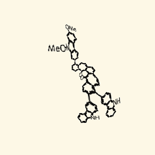 COc1ccc2c3ccc(-c4cccc5c(=O)c6c(ccc7ccc8c(-c9ccc%10[nH]c%11ccccc%11c%10c9)c(-c9ccc%10[nH]c%11ccccc%11c%10c9)ccc8c(=O)c76)ccc45)cc3n(OC)c2c1